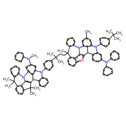 Cc1cc2c3c(c1)N1c4ccccc4C(C)(CCC(C)(C)c4ccc(N5c6ccccc6B6C7=C8c9c(cccc9C(C)(C)c9ccccc9N8c8cc(N(C)c9ccccc9)cc5c86)C7(C)C)cc4)c4cccc5oc(c1c45)B3c1ccc(N(c3ccccc3)c3ccccc3)cc1N2c1ccc(C(C)(C)C)cc1